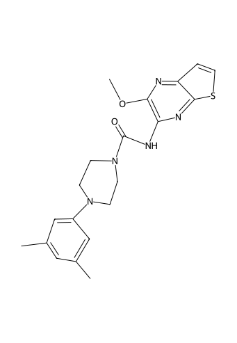 COc1nc2ccsc2nc1NC(=O)N1CCN(c2cc(C)cc(C)c2)CC1